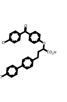 O=C(c1ccc(Cl)cc1)c1ccc(OC(CCc2ccc(-c3ccc(Cl)cc3)cc2)C(=O)O)cc1